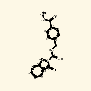 CC(C)(C)OC(=O)c1ccc(CNC(=O)n2sc3ncccc3c2=O)cc1